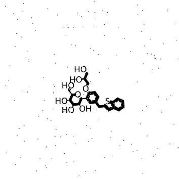 OC[C@H](O)COc1ccc(Cc2cc3ccccc3s2)cc1[C@@H]1O[C@H](CO)[C@@H](O)[C@H](O)[C@H]1O